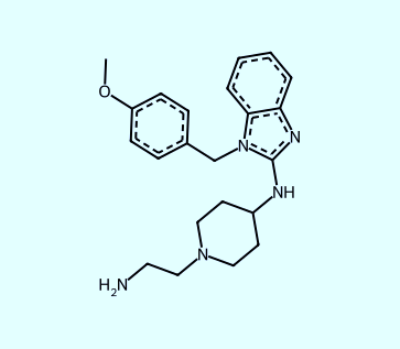 COc1ccc(Cn2c(NC3CCN(CCN)CC3)nc3ccccc32)cc1